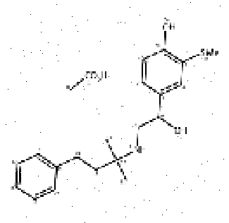 CC(=O)O.CSc1cc(C(O)CNC(C)(C)CCc2ccccc2)ccc1O